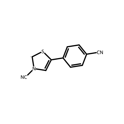 N#Cc1ccc(C2=CN(C#N)[CH]S2)cc1